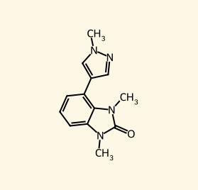 Cn1cc(-c2cccc3c2n(C)c(=O)n3C)cn1